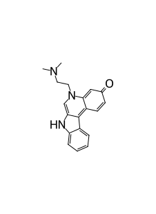 CN(C)CCn1cc2[nH]c3ccccc3c2c2ccc(=O)cc1-2